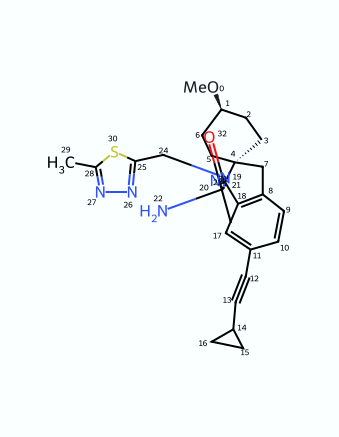 CO[C@H]1CC[C@]2(CC1)Cc1ccc(C#CC3CC3)cc1C21N=C(N)N(Cc2nnc(C)s2)C1=O